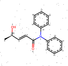 C[C@@H](O)C=CC(=O)N(c1ccccc1)c1ccccc1